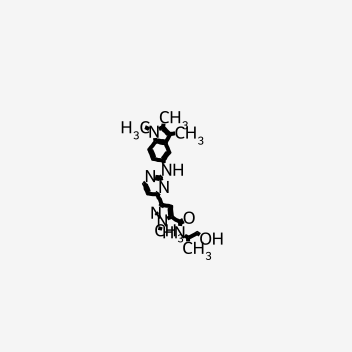 Cc1c(C)n(C)c2ccc(Nc3nccc(-c4cc(C(=O)NC(C)CO)n(C)n4)n3)cc12